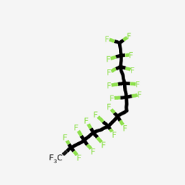 F[C](F)C(F)(F)C(F)(F)C(F)(F)C(F)(F)CC(F)(F)C(F)(F)C(F)(F)C(F)(F)C(F)(F)C(F)(F)F